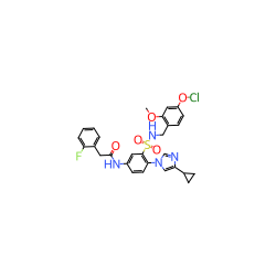 COc1cc(OCl)ccc1CNS(=O)(=O)c1cc(NC(=O)Cc2ccccc2F)ccc1-n1cnc(C2CC2)c1